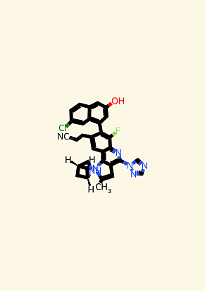 Cc1cc2c(-n3cncn3)nc3c(F)c(-c4cc(O)cc5ccc(Cl)cc45)c(CCC#N)cc3c2n1[C@H]1[C@H]2CN[C@@H]1C2